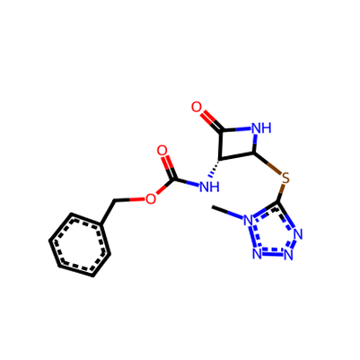 Cn1nnnc1SC1NC(=O)[C@H]1NC(=O)OCc1ccccc1